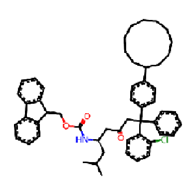 CC(C)C[C@H](CC(=O)CC(c1ccccc1)(c1ccc(C2CCCCCCCCCC2)cc1)c1ccccc1Cl)NC(=O)OCC1c2ccccc2-c2ccccc21